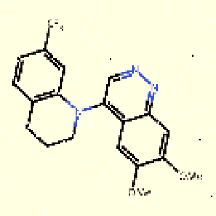 COc1cc2nncc(N3CCCc4ccc(C(F)(F)F)cc43)c2cc1OC